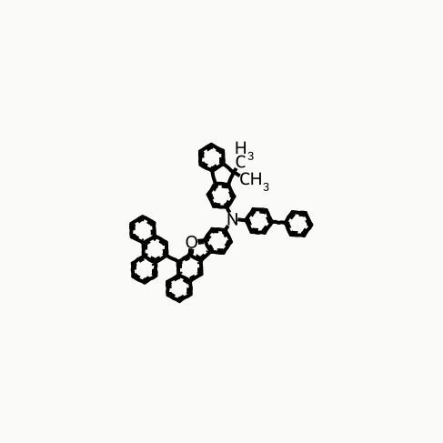 CC1(C)c2ccccc2-c2ccc(N(c3ccc(-c4ccccc4)cc3)c3ccc4c(c3)oc3c(-c5cc6ccccc6c6ccccc56)c5ccccc5cc34)cc21